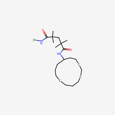 CCNC(=O)C(C)(C)CC(C)(C)C(=O)NC1CCCCCCCCCCCC1